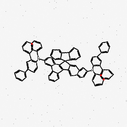 c1ccc(-c2ccc(N(c3ccccc3)c3ccc4cc5c(cc4c3)C3(c4ccccc4-c4ccccc43)c3c-5c4ccccc4c4cc(N(c5ccccc5)c5ccc(-c6ccccc6)cc5-c5ccccc5)ccc34)c(-c3ccccc3)c2)cc1